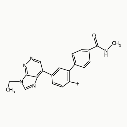 CCn1cnc2c(-c3ccc(F)c(-c4ccc(C(=O)NC)cc4)c3)cnnc21